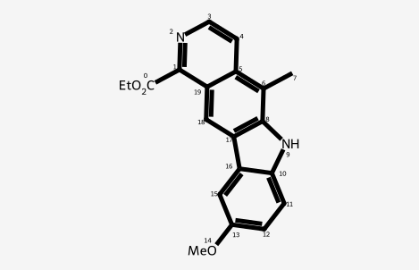 CCOC(=O)c1nccc2c(C)c3[nH]c4ccc(OC)cc4c3cc12